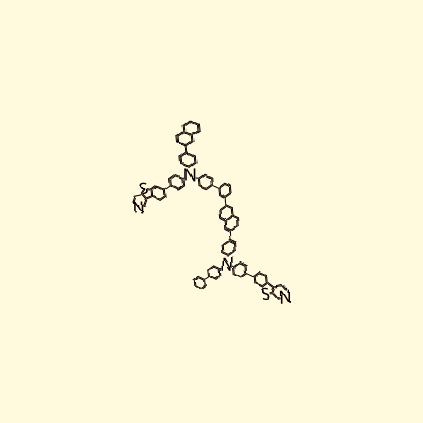 c1ccc(-c2ccc(N(c3ccc(-c4ccc5cc(-c6cccc(-c7ccc(N(c8ccc(-c9ccc%10ccccc%10c9)cc8)c8ccc(-c9ccc%10c(c9)sc9ccncc9%10)cc8)cc7)c6)ccc5c4)cc3)c3ccc(-c4ccc5c(c4)sc4cnccc45)cc3)cc2)cc1